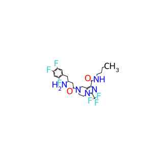 CCCCNC(=O)c1nc(C(F)(F)F)n2c1CN(C(=O)CC(N)Cc1cc(F)c(F)cc1F)CC2